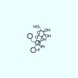 CC(C)n1nc(O[C@@H]2O[C@H](CO)[C@@H](O)[C@H](O)[C@H]2O)c(Cc2ccccc2)c1-c1ccccc1F